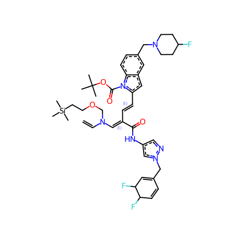 C=CN(/C=C(\C=C\c1cc2cc(CN3CCC(F)CC3)ccc2n1C(=O)OC(C)(C)C)C(=O)Nc1cnn(CC2=CC(F)C(F)C=C2)c1)COCC[Si](C)(C)C